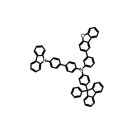 c1ccc(C2(c3ccc(N(c4ccc(-c5ccc(-n6c7ccccc7c7ccccc76)cc5)cc4)c4cccc(-c5ccc6oc7ccccc7c6c5)c4)cc3)c3ccccc3-c3ccccc32)cc1